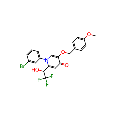 COc1ccc(COc2cn(-c3cccc(Br)c3)c(C(O)C(F)(F)F)cc2=O)cc1